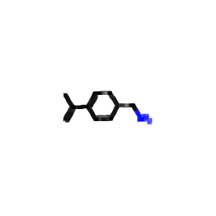 C=C(C)C1=CCC(CN)C=C1